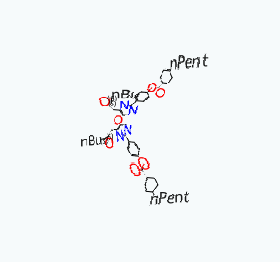 CCCCC[C@H]1CC[C@H](C(=O)Oc2ccc(-c3ncc(Oc4cnc(-c5ccc(OC(=O)[C@H]6CC[C@H](CCCCC)CC6)cc5)nc4C[C@@H]4O[C@H]4CCCC)c(C[C@@H]4O[C@H]4CCCC)n3)cc2)CC1